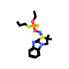 CCCSP(=S)(OCC)ON=S1c2nc3ccccc3n2CC1(C)C